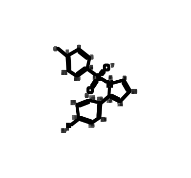 Cc1ccc(S(=O)(=O)n2cccc2-c2ccc(F)cc2)cc1